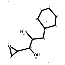 NC(CC1CCCCC1)C(O)C1CO1